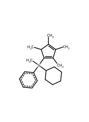 CC1=C(C)C(C)C([Si](C)(c2ccccc2)C2CCCCC2)=C1C